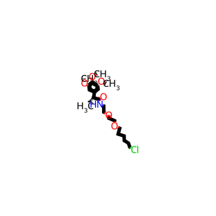 CC[C@@H](C(=O)NCCOCCOCCCCCCCl)c1cc(OC)c(OC)c(OC)c1